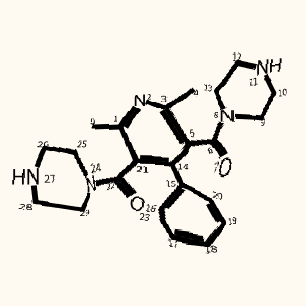 Cc1nc(C)c(C(=O)N2CCNCC2)c(-c2ccccc2)c1C(=O)N1CCNCC1